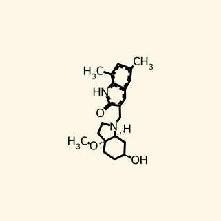 CO[C@@]12CC[C@H](O)C[C@@H]1N(Cc1cc3cc(C)cc(C)c3[nH]c1=O)CC2